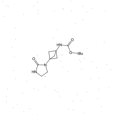 CC(C)(C)OC(=O)NC12CC(N3CCNC3=O)(C1)C2